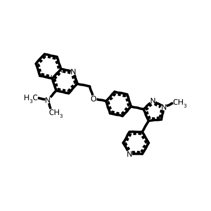 CN(C)c1cc(COc2ccc(-c3nn(C)cc3-c3ccncc3)cc2)nc2ccccc12